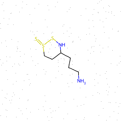 NCCCC1CCS(=S)SN1